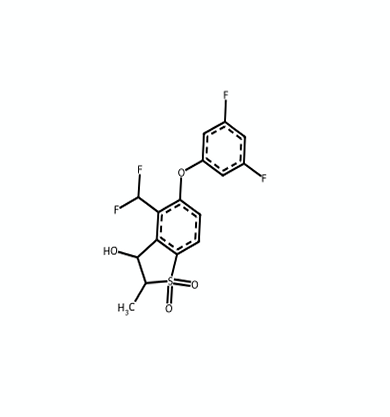 CC1C(O)c2c(ccc(Oc3cc(F)cc(F)c3)c2C(F)F)S1(=O)=O